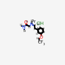 CC(C)N(CCc1cccc(OCC(F)(F)F)c1)CC(=O)N(C)C.Cl